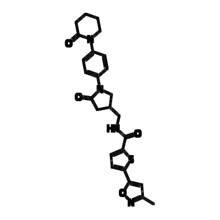 Cc1cc(-c2ccc(C(=O)NCC3CC(=O)N(c4ccc(N5CCCCC5=O)cc4)C3)s2)on1